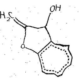 C=C1Oc2ccccc2C1O